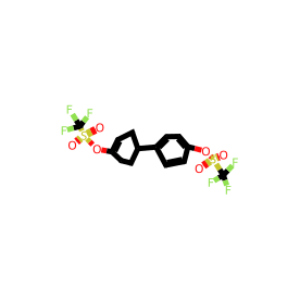 O=S(=O)(OC1=CCC(c2ccc(OS(=O)(=O)C(F)(F)F)cc2)CC1)C(F)(F)F